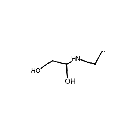 [CH2]CNC(O)CO